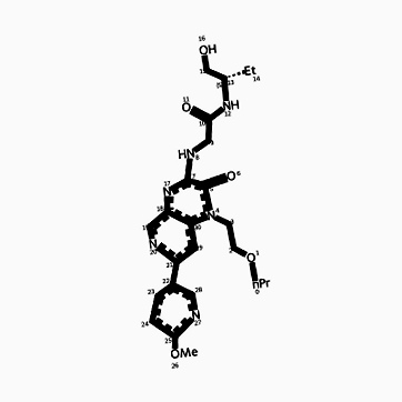 CCCOCCn1c(=O)c(NCC(=O)N[C@@H](CC)CO)nc2cnc(-c3ccc(OC)nc3)cc21